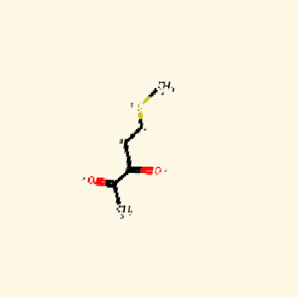 [CH2]C(=O)C(=O)CCSC